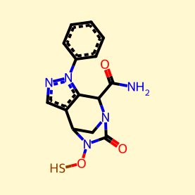 NC(=O)C1c2c(cnn2-c2ccccc2)C2CN1C(=O)N2OS